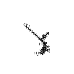 CCCCCCCCCCCCCCCCCCOC[C@H](COP(=O)(O)OC[C@H]1O[C@@](C)(c2ccc3c(N)ncnn23)[C@H](O)[C@@H]1O)OCc1ccc(C#N)cn1